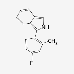 Cc1cc(F)ccc1-c1[nH]cc2ccccc12